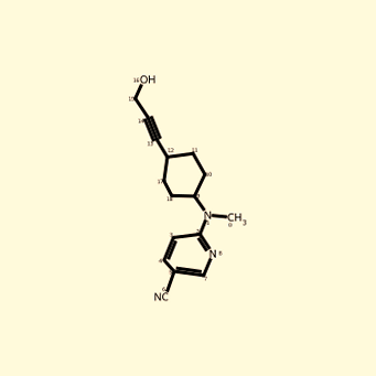 CN(c1ccc(C#N)cn1)C1CCC(C#CCO)CC1